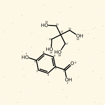 O=C(O)c1ccc(O)cc1.OCC(CO)(CO)CO